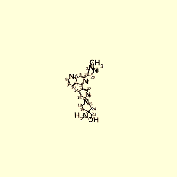 Cn1cc(-c2cc3ncccc3c(-c3ccc(N4CCC(N)(CO)CC4)nc3)n2)cn1